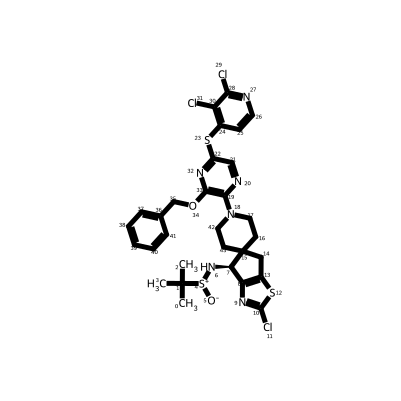 CC(C)(C)[S+]([O-])N[C@@H]1c2nc(Cl)sc2CC12CCN(c1ncc(Sc3ccnc(Cl)c3Cl)nc1OCc1ccccc1)CC2